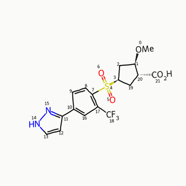 CO[C@@H]1C[C@H](S(=O)(=O)c2ccc(-c3cc[nH]n3)cc2C(F)(F)F)C[C@H]1C(=O)O